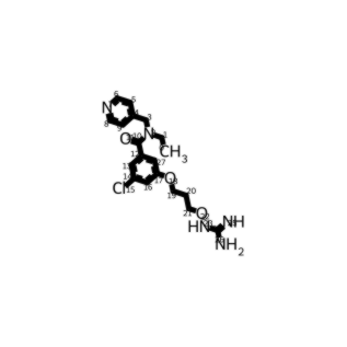 CCN(Cc1ccncc1)C(=O)c1cc(Cl)cc(OCCCONC(=N)N)c1